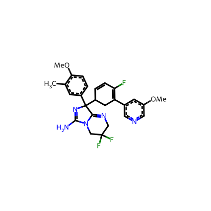 COc1cncc(C2=C(F)C=CC(C3(c4ccc(OC)c(C)c4)N=C(N)N4CC(F)(F)CN=C43)C2)c1